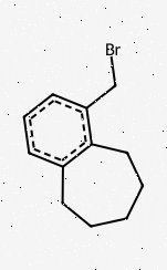 BrCc1cccc2c1CCCCC2